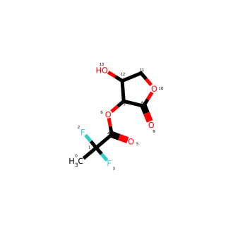 CC(F)(F)C(=O)OC1C(=O)OCC1O